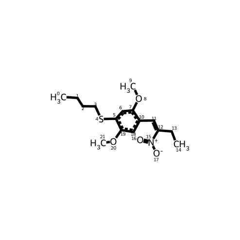 CCCCSc1cc(OC)c(C=C(CC)[N+](=O)[O-])cc1OC